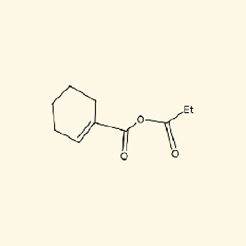 CCC(=O)OC(=O)C1=CCCCC1